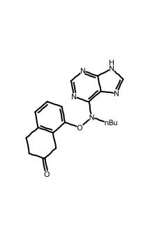 CCCCN(Oc1cccc2c1CC(=O)CC2)c1ncnc2[nH]cnc12